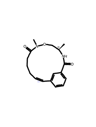 C[C@@H]1CON(C)C(=O)CCC/C=C\c2cccc(c2)C(=O)N1